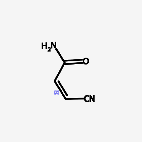 N#C/C=C\C(N)=O